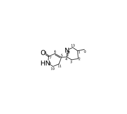 CC1CCC(C2=CC(=O)NCC2)=NC1